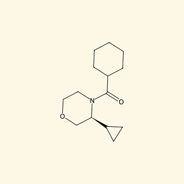 O=C(C1CCCCC1)N1CCOC[C@@H]1C1CC1